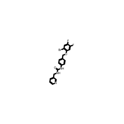 O=C(NCc1cccnc1)Nc1ccc(COc2cc(F)c(F)cc2Br)cc1